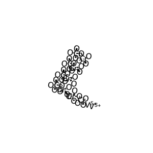 [O]=[Cr](=[O])([O-])[O][Cr](=[O])(=[O])[O-].[O]=[Cr](=[O])([O-])[O][Cr](=[O])(=[O])[O-].[O]=[Cr](=[O])([O-])[O][Cr](=[O])(=[O])[O-].[O]=[Cr](=[O])([O-])[O][Cr](=[O])(=[O])[O-].[O]=[Cr](=[O])([O-])[O][Cr](=[O])(=[O])[O-].[V+5].[V+5]